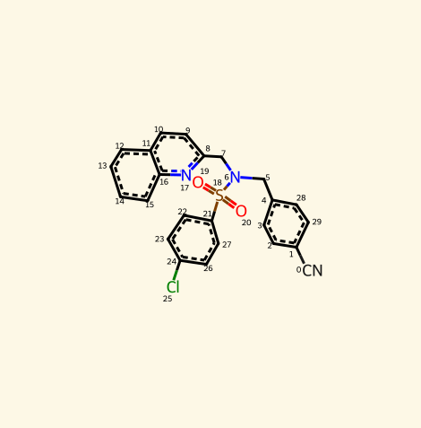 N#Cc1ccc(CN(Cc2ccc3ccccc3n2)S(=O)(=O)c2ccc(Cl)cc2)cc1